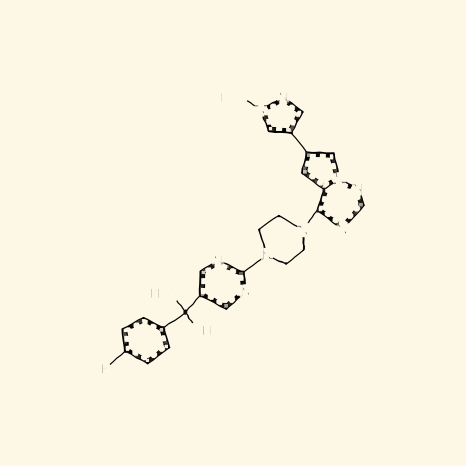 Cn1cc(-c2cc3c(N4CCN(c5ncc(C(C)(C)c6ccc(F)cc6)cn5)CC4)ncnn3c2)cn1